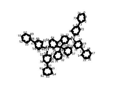 c1ccc(-c2ccc(N(c3ccc(-c4ccccc4)cc3)c3ccc4c(c3)C(c3ccccc3)(c3ccccc3)c3cc(N(c5ccc(-c6ccccc6)cc5)c5ccc(-c6ccccc6)cc5)ccc3-4)cc2)cc1